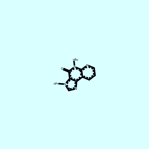 CCCCn1c(=O)c2c(ncn2CCC)c2cccnc21